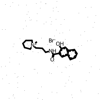 C[N+]1(CCCNC(=O)c2cc3ccccc3cc2O)CCCCC1.[Br-]